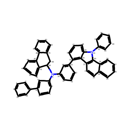 c1ccc(-c2cccc(N(c3cccc(-c4cccc5c4c4ccc6ccccc6c4n5-c4ccccc4)c3)C3Cc4ccccc4-c4ccccc43)c2)cc1